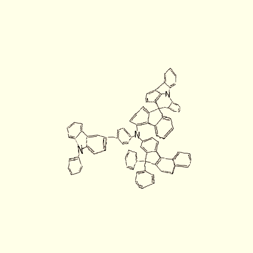 c1ccc(-n2c3ccccc3c3cc(-c4ccc(N(c5ccc6c(c5)C(c5ccccc5)(c5ccccc5)c5ccc7ccccc7c5-6)c5cccc6c5-c5ccccc5C65c6ccccc6-n6c7ccccc7c7cccc5c76)cc4)ccc32)cc1